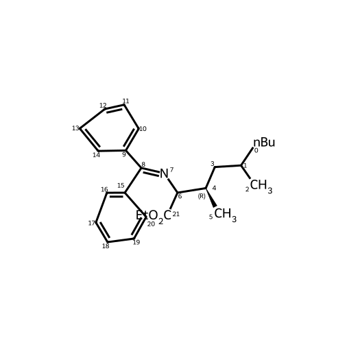 CCCCC(C)C[C@@H](C)C(N=C(c1ccccc1)c1ccccc1)C(=O)OCC